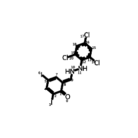 O=C1C(I)=CC(I)=C/C1=C\NNc1c(Cl)cc(Cl)cc1Cl